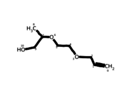 C=CCOCCOC(C)CO